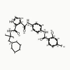 CC(C)(CN1CCCCC1)NC(=O)c1[nH]cnc1C(=O)Nc1ccc(NC(=O)c2ccc(F)cc2Cl)cc1